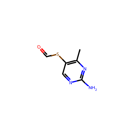 Cc1nc(N)ncc1SC=O